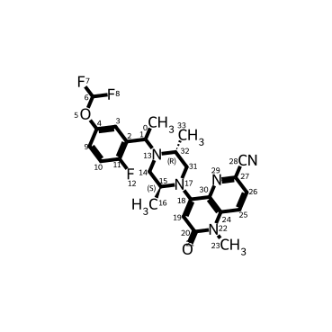 CC(c1cc(OC(F)F)ccc1F)N1C[C@H](C)N(c2cc(=O)n(C)c3ccc(C#N)nc23)C[C@H]1C